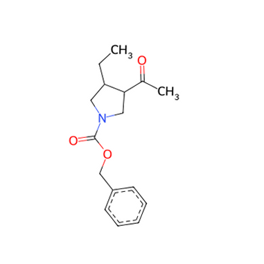 CCC1CN(C(=O)OCc2ccccc2)CC1C(C)=O